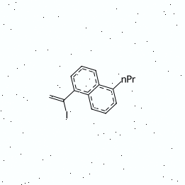 C=C(I)c1cccc2c(CCC)cccc12